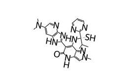 CC(C)[C@@](S)(Nc1c(-c2nc3ncc(N(C)C)cc3[nH]2)c(=O)[nH]c2cn(C)nc12)c1ncccn1